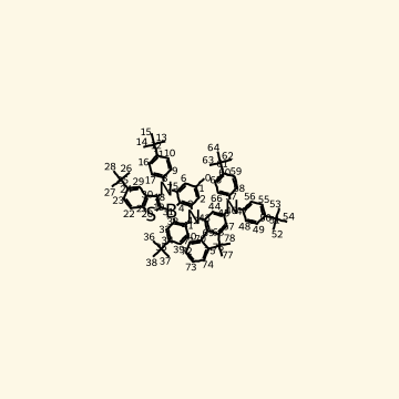 Cc1cc2c3c(c1)N(c1ccc(C(C)(C)C)cc1)c1c(sc4ccc(C(C)(C)C)cc14)B3c1cc(C(C)(C)C)ccc1N2c1cc(N(c2ccc(C(C)(C)C)cc2)c2ccc(C(C)(C)C)cc2)cc2c1-c1ccccc1C2(C)C